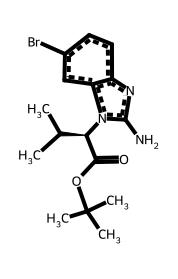 CC(C)[C@H](C(=O)OC(C)(C)C)n1c(N)nc2ccc(Br)cc21